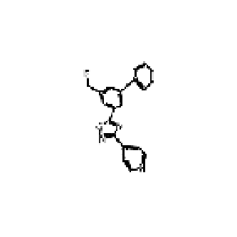 FCc1cc(-c2ccccc2)cc(-c2nc(-c3ccncc3)no2)c1